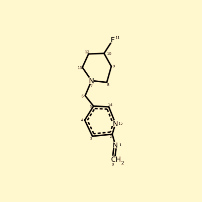 C=Nc1ccc(CN2CCC(F)CC2)cn1